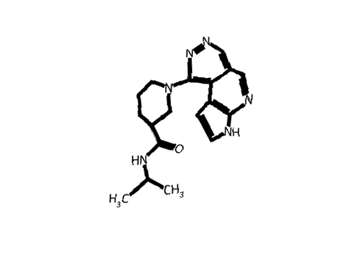 CC(C)NC(=O)C1CCCN(c2nncc3cnc4[nH]ccc4c23)C1